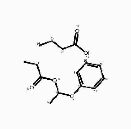 CCC(=O)OC(C)Oc1ccccc1.CCCC(=O)O